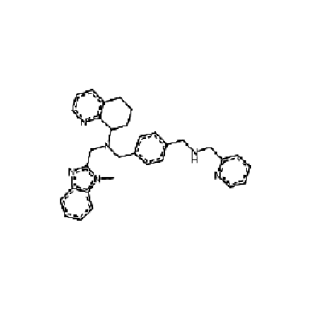 Cn1c(CN(Cc2ccc(CNCc3ccccn3)cc2)C2CCCc3cccnc32)nc2ccccc21